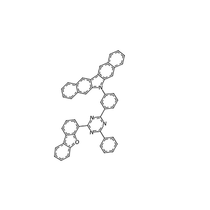 c1ccc(-c2nc(-c3cccc(-n4c5cc6ccccc6cc5c5cc6ccccc6cc54)c3)nc(-c3cccc4c3oc3ccccc34)n2)cc1